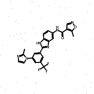 Cc1oncc1C(=O)Nc1ccc2[nH]c(-c3cc(-n4ccnc4C)cc(C(F)(F)F)c3)nc2c1